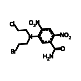 NC(=O)c1cc(N(CCCl)CCBr)c([N+](=O)[O-])cc1[N+](=O)[O-]